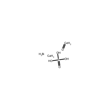 O=P(O)(O)O.[BiH3].[GaH3].[O]=[GeH2]